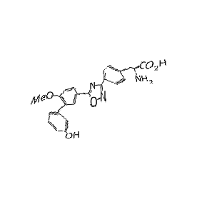 COc1ccc(-c2nc(-c3ccc(C[C@H](N)C(=O)O)cc3)no2)cc1-c1cccc(O)c1